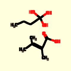 CC(C)=C(C)C(=O)O.CCCC(O)(O)O